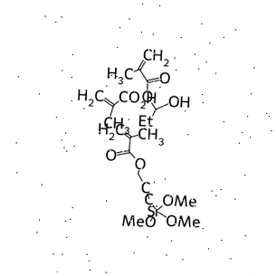 C=C(C)C(=O)O.C=C(C)C(=O)OC(O)CC.C=C(C)C(=O)OCCC[Si](OC)(OC)OC